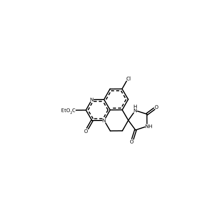 CCOC(=O)c1nc2cc(Cl)cc3c2n(c1=O)CCC31NC(=O)NC1=O